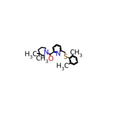 Cc1cccc(C)c1SCc1cccc(C(=O)N2CCCC(C)(C)C2)n1